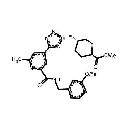 COc1cccc(CNC(=O)c2cc(-c3nnn(C[C@H]4CC[C@H](C(=O)OC)CC4)n3)cc(C)n2)c1